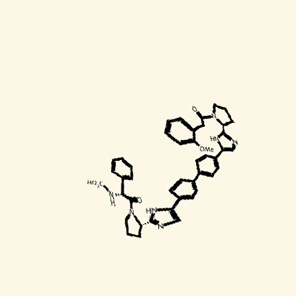 COc1ccccc1CC(=O)N1CCC[C@H]1c1ncc(-c2ccc(-c3ccc(-c4cnc([C@@H]5CCCN5C(=O)[C@H](NC(=O)O)c5ccccc5)[nH]4)cc3)cc2)[nH]1